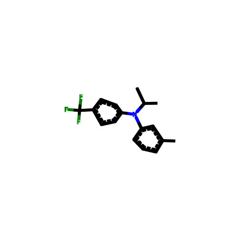 Cc1cccc(N(c2ccc(C(F)(F)F)cc2)C(C)C)c1